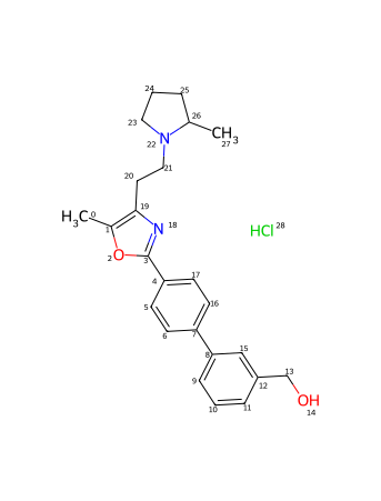 Cc1oc(-c2ccc(-c3cccc(CO)c3)cc2)nc1CCN1CCCC1C.Cl